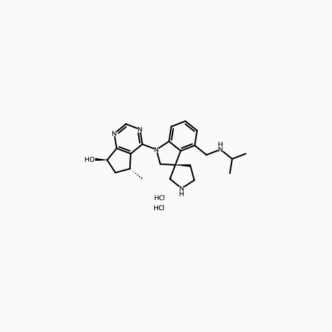 CC(C)NCc1cccc2c1[C@@]1(CCNC1)CN2c1ncnc2c1[C@H](C)C[C@H]2O.Cl.Cl